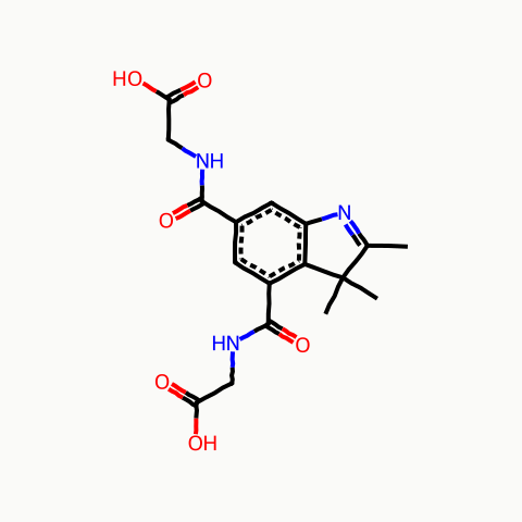 CC1=Nc2cc(C(=O)NCC(=O)O)cc(C(=O)NCC(=O)O)c2C1(C)C